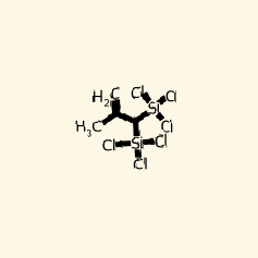 C=C(C)C([Si](Cl)(Cl)Cl)[Si](Cl)(Cl)Cl